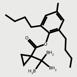 BC(B)(B)C1(C(=O)Oc2c(CCCC)cc(C)cc2CCCC)CC1